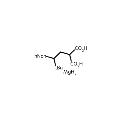 CCCCCCCCCC(CC(C(=O)O)C(=O)O)C(C)(C)C.[MgH2]